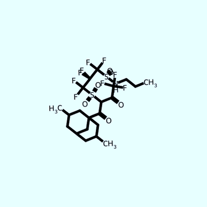 CCCNS(=O)(=O)C(F)(F)C(F)(F)C(F)(F)S(=O)(=O)C(C(=O)C(F)(F)F)C(=O)C12CC(C)CC(CC(C)C1)C2